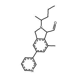 CCCC(C)N1Cc2cc(-c3cccnc3)cc(C)c2C1C=O